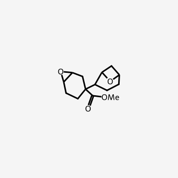 COC(=O)C1(C2CCC3CC2O3)CCC2OC2C1